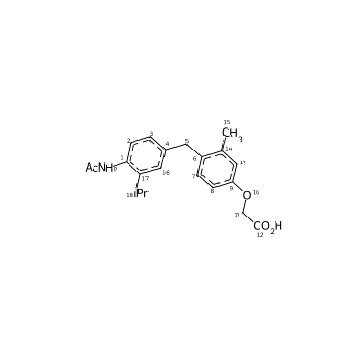 CC(=O)Nc1ccc(Cc2ccc(OCC(=O)O)cc2C)cc1C(C)C